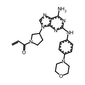 C=CC(=O)N1CCC(n2cnc3c(N)nc(Nc4ccc(N5CCOCC5)cc4)nc32)C1